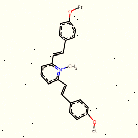 CCOc1ccc(/C=C/c2cccc(/C=C/c3ccc(OCC)cc3)[n+]2C)cc1